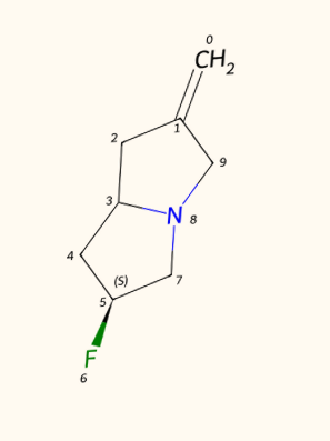 C=C1CC2C[C@H](F)CN2C1